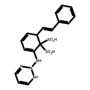 O=S(=O)(O)C1(S(=O)(=O)O)C(NN2N=CC=CN2)=CC=CC1C=Cc1ccccc1